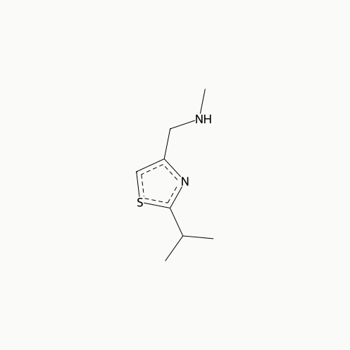 CNCc1csc(C(C)C)n1